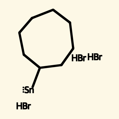 Br.Br.Br.[Sn][CH]1CCCCCCC1